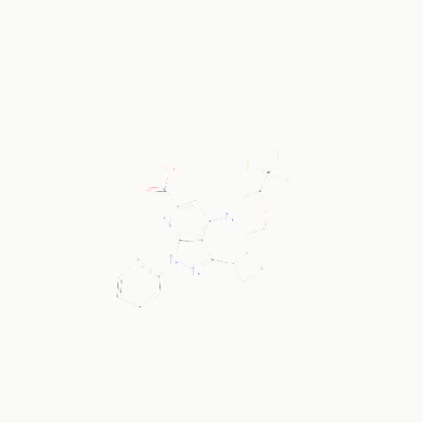 O=C(O)c1cc(N2CCOC(C(F)(F)F)C2)c2c(C3CCC3)nn(-c3ccccc3)c2n1